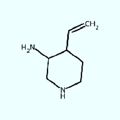 C=CC1CCNCC1N